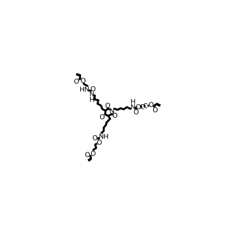 C=CC(=O)OCCCOC(=O)NCCCCCCC1C(=O)C(CCCCCCNC(=O)NCCOC(=O)C=C)C(=O)N(CCCCCCNC(=O)OCCCOC(=O)C=C)C1=O